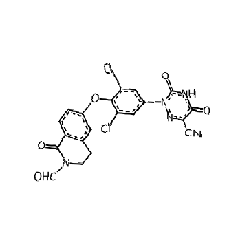 N#Cc1nn(-c2cc(Cl)c(Oc3ccc4c(c3)CCN(C=O)C4=O)c(Cl)c2)c(=O)[nH]c1=O